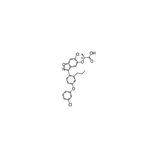 CCCc1cc(Oc2cccc(Cl)c2)ccc1-c1noc2cc(Cl)c(O[C@@H](C)C(=O)O)cc12